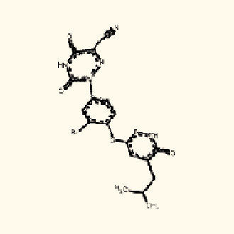 CC(C)Cc1cc(Oc2ccc(-n3nc(C#N)c(=O)[nH]c3=O)cc2Br)n[nH]c1=O